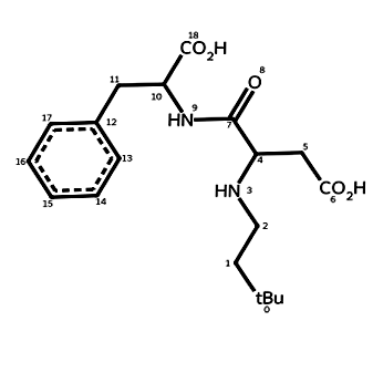 CC(C)(C)CCNC(CC(=O)O)C(=O)NC(Cc1ccccc1)C(=O)O